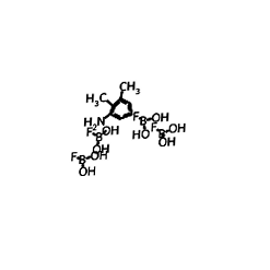 Cc1cccc(N)c1C.OB(O)F.OB(O)F.OB(O)F.OB(O)F